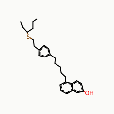 CCCC(CC)SCCc1ccc(CCCCCc2cccc3cc(O)ccc23)cc1